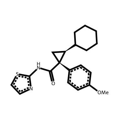 COc1ccc([C@@]2(C(=O)Nc3nccs3)C[C@H]2C2CCCCC2)cc1